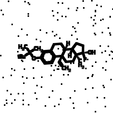 C=C[C@]12CC[C@@]3(C)[C@@H](CC[C@@]3(O)F)[C@@H]1CCc1cc(O[Si](C)(C)C(C)(C)C)ccc12